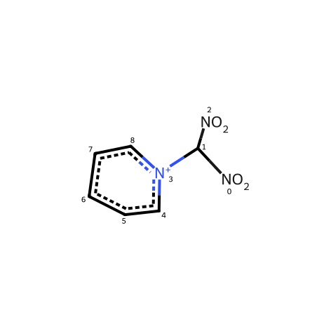 O=[N+]([O-])C([N+](=O)[O-])[n+]1ccccc1